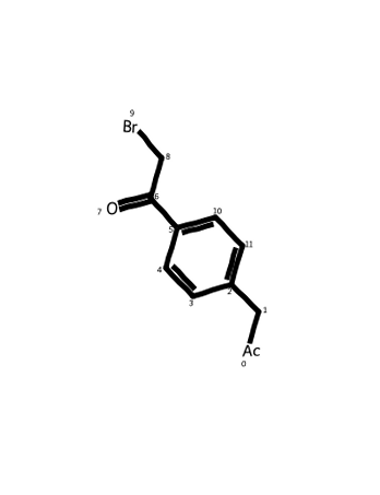 CC(=O)Cc1ccc(C(=O)CBr)cc1